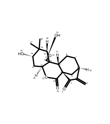 C=C1C(=O)[C@]23C[C@H]1CC[C@H]2[C@@]12CO[C@@H](O)[C@@H]1C(C)(C)[C@@H](O)C[C@@H]2OC3=O